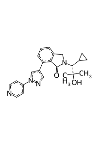 CC(C)(O)[C@@H](C1CC1)N1Cc2cccc(-c3cnn(-c4ccncc4)c3)c2C1=O